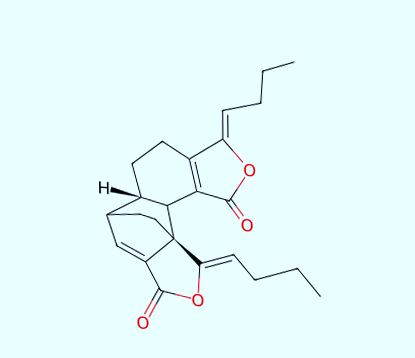 CCC/C=C1\OC(=O)C2=C1CC[C@H]1C3C=C4C(=O)O/C(=C\CCC)[C@@]4(CC3)C21